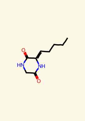 CCCCC=C1NC(=O)CNC1=O